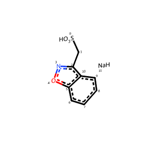 O=S(=O)(O)Cc1noc2ccccc12.[NaH]